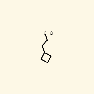 O=CCCC1CCC1